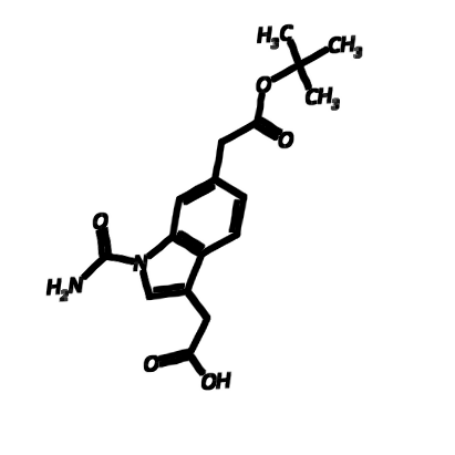 CC(C)(C)OC(=O)Cc1ccc2c(CC(=O)O)cn(C(N)=O)c2c1